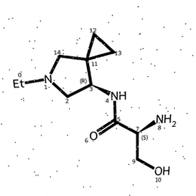 CCN1C[C@H](NC(=O)[C@@H](N)CO)C2(CC2)C1